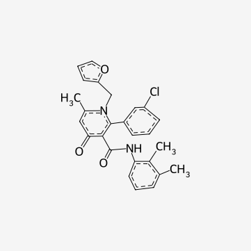 Cc1cccc(NC(=O)c2c(-c3cccc(Cl)c3)n(Cc3ccco3)c(C)cc2=O)c1C